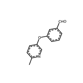 Cc1ccc(Oc2cccc(C=O)c2)cn1